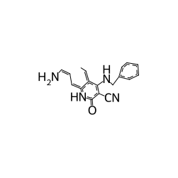 C/C=c1/c(NCc2ccccc2)c(C#N)c(=O)[nH]/c1=C/C=C\N